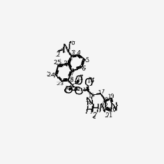 CN(C)c1cccc2c(S(=O)(=O)OC(=O)[C@@H](N)Cc3cnc[nH]3)cccc12